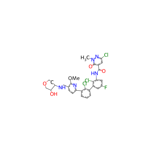 COc1nc(-c2cccc(-c3cc(F)cc(NC(=O)c4cc(Cl)nn(C)c4=O)c3Cl)c2Cl)ccc1CNC1CCOCC1O